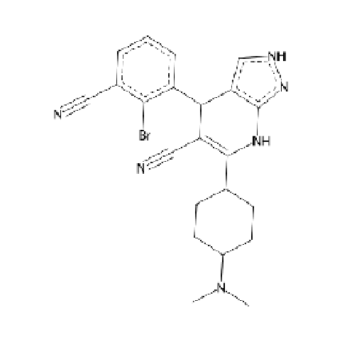 CN(C)C1CCC(C2=C(C#N)C(c3cccc(C#N)c3Br)c3c[nH]nc3N2)CC1